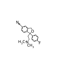 CN(C)CCC1(c2ccc(F)cc2)OCc2cc(C#N)ccc21